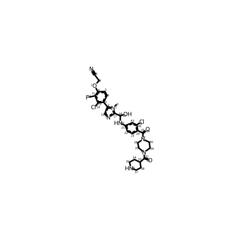 Cn1c(-c2ccc(OCC#N)c(F)c2Cl)cnc1C(O)Nc1ccc(C(=O)N2CCN(C(=O)C3CCNCC3)CC2)c(Cl)c1